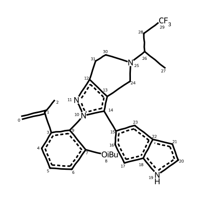 C=C(C)c1cccc(OCC(C)C)c1-n1nc2c(c1-c1ccc3[nH]ccc3c1)CN(C(C)CC(F)(F)F)CC2